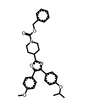 COc1ccc(-c2oc(C3CCN(C(=O)OCc4ccccc4)CC3)nc2-c2ccc(OC(C)C)cc2)cc1